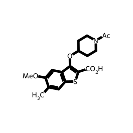 COc1cc2c(OC3CCN(C(C)=O)CC3)c(C(=O)O)sc2cc1C